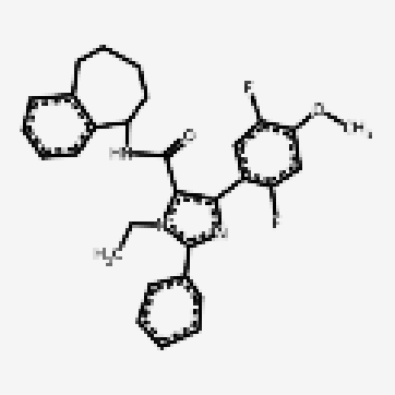 CCn1c(-c2ccccc2)nc(-c2cc(F)c(OC)cc2F)c1C(=O)NC1CCCCc2ccccc21